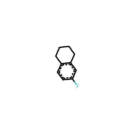 Fc1ccc2c(c1)CC[CH]C2